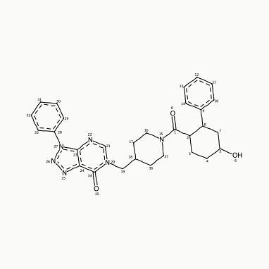 O=C(C1CCC(O)CC1c1ccccc1)N1CCC(Cn2cnc3c(nnn3-c3ccccc3)c2=O)CC1